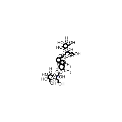 C=C1C[C@@]2(C)CCC3[C@](C)(C(=O)OC(O)/C(OC4CC(CO)C(O)C(O)C4O)=C(/O)C(O)CCO)CCC[C@@]3(C)[C@@H]2CCC1OC(O)/C(O)=C(\OC1OC(CO)C(O)C(O)C1O)C(O)CCO